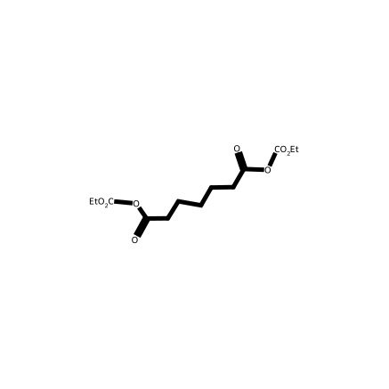 CCOC(=O)OC(=O)CCCCCC(=O)OC(=O)OCC